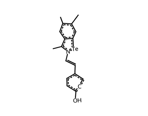 Cc1cc2[te][n+](C=Cc3ccc(O)cc3)c(C)c2cc1C